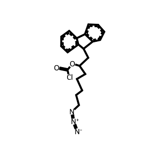 [N-]=[N+]=NCCCCCC(CC1c2ccccc2-c2ccccc21)OC(=O)Cl